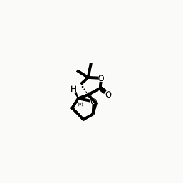 CC1(C)C[C@@]2(CC3CC[C@H]2O3)C(=O)O1